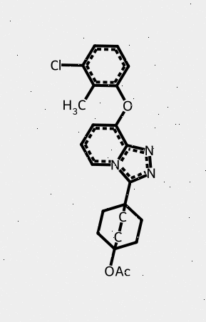 CC(=O)OC12CCC(c3nnc4c(Oc5cccc(Cl)c5C)cccn34)(CC1)CC2